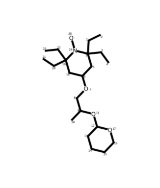 CCC1(CC)CC(OCC(C)OC2CCCCO2)CC(CC)(CC)N1[O]